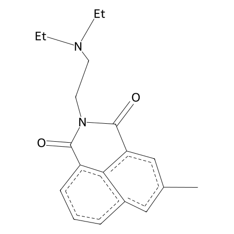 CCN(CC)CCN1C(=O)c2cccc3cc(C)cc(c23)C1=O